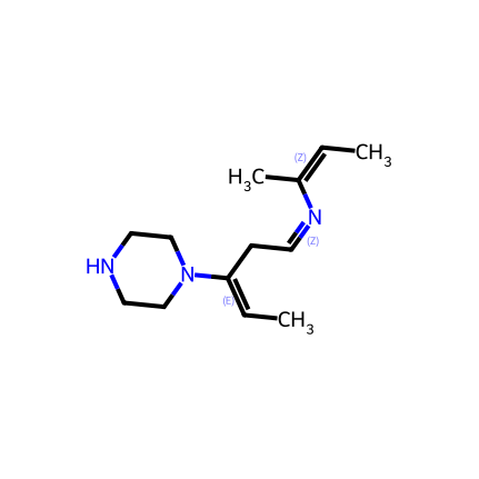 C/C=C(C)\N=C/C/C(=C\C)N1CCNCC1